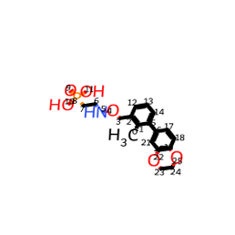 Cc1c(CONCCP(=O)(O)O)cccc1-c1ccc2c(c1)OCCO2